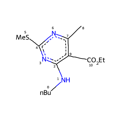 CCCCNc1nc(SC)nc(C)c1C(=O)OCC